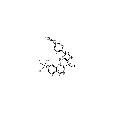 [C-]#[N+]c1ccc(-n2cnc3c(=N)n(/N=C\c4ccc(C(F)(F)F)cc4)cnc32)cc1